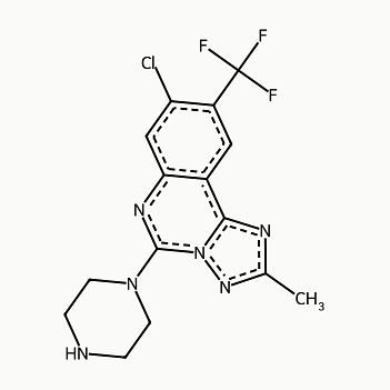 Cc1nc2c3cc(C(F)(F)F)c(Cl)cc3nc(N3CCNCC3)n2n1